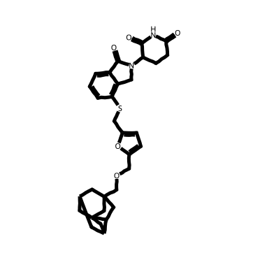 O=C1CCC(N2Cc3c(SCc4ccc(COCC56CC7CC8CC(C7)(C5)C8C6)o4)cccc3C2=O)C(=O)N1